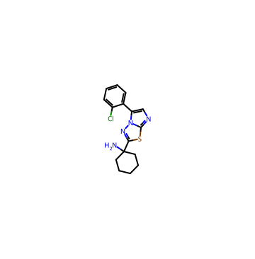 NC1(c2nn3c(-c4ccccc4Cl)cnc3s2)CCCCC1